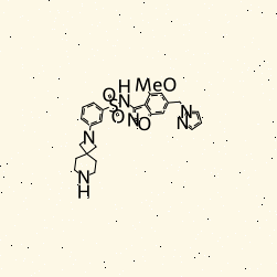 COc1cc(Cn2cccn2)cc2onc(NS(=O)(=O)c3cccc(N4CC5(CCNCC5)C4)c3)c12